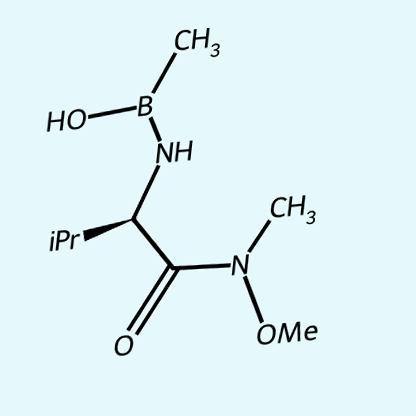 CON(C)C(=O)[C@H](NB(C)O)C(C)C